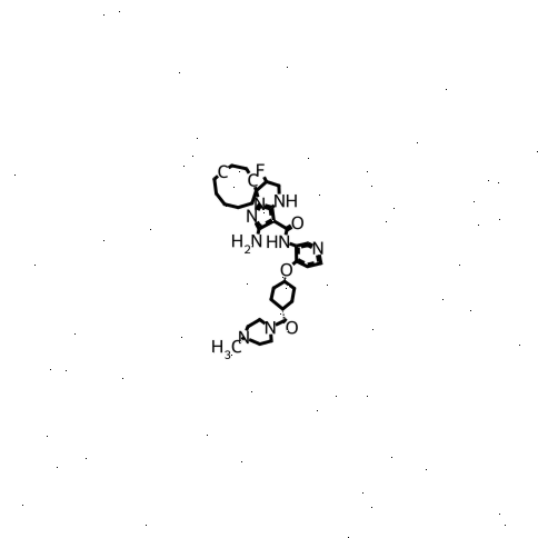 CN1CCN(C(=O)[C@H]2CC[C@@H](Oc3ccncc3NC(=O)c3c(N)nn4c3NCC(F)C43CCCCCCCCC3)CC2)CC1